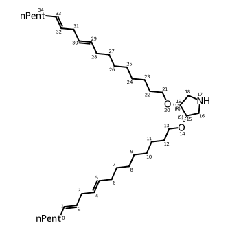 CCCCCC=CCC=CCCCCCCCCO[C@H]1CNC[C@H]1OCCCCCCCCC=CCC=CCCCCC